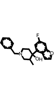 CC1CN(Cc2ccccc2)CCC1(O)c1cc(F)cc2occc12